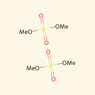 COS(=O)(=O)OC.COS(=O)(=O)OC